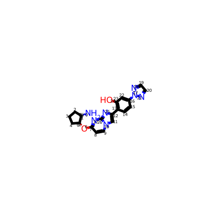 N[C@@H]1CCC[C@@H]1Oc1ccn2cc(-c3ccc(-n4nccn4)cc3O)nc2n1